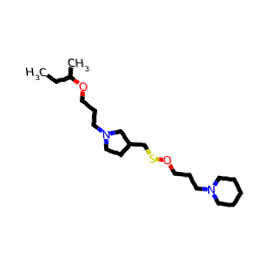 CCC(C)OCCCN1CCC(CSOCCCN2CCCCC2)C1